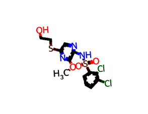 COc1nc(SCCO)cnc1NS(=O)(=O)c1cccc(Cl)c1Cl